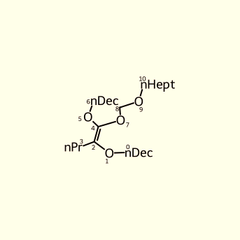 CCCCCCCCCCOC(CCC)=C(OCCCCCCCCCC)OCOCCCCCCC